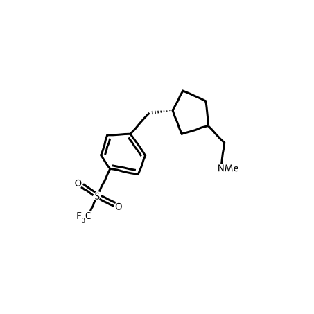 CNCC1CC[C@@H](Cc2ccc(S(=O)(=O)C(F)(F)F)cc2)C1